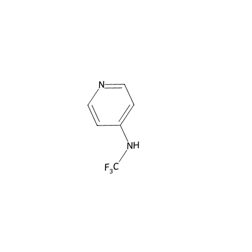 FC(F)(F)Nc1ccncc1